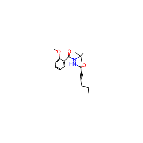 CCCC#CC(=O)NN(C(=O)c1ccccc1OC)C(C)(C)C